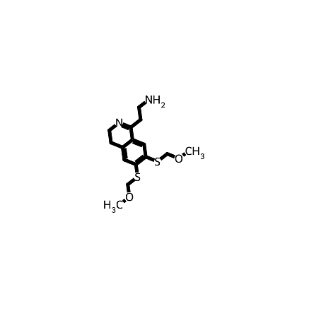 COCSc1cc2c(cc1SCOC)C(CCN)=NCC2